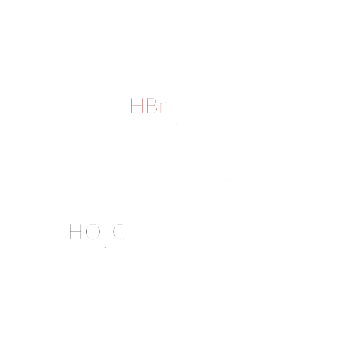 Br.CC1(C)CC1C(=O)O